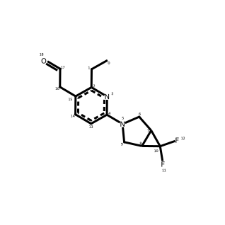 CCc1nc(N2CC3C(C2)C3(F)F)ccc1CC=O